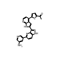 CC(=O)c1ccc(-c2ccnc3[nH]c(-c4n[nH]c5ccc(-c6cncc(N)c6)nc45)cc23)s1